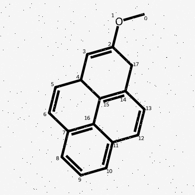 COC1=CC2C=Cc3cccc4ccc(c2c34)C1